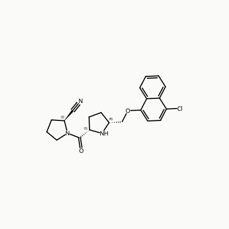 N#C[C@@H]1CCCN1C(=O)[C@@H]1CC[C@H](COc2ccc(Cl)c3ccccc23)N1